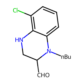 CCCCN1c2cccc(Cl)c2NCC1C=O